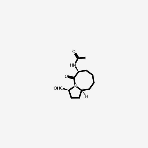 O=C[C@@H]1CC[C@@H]2CCCC[C@H](NC(=O)I)C(=O)N21